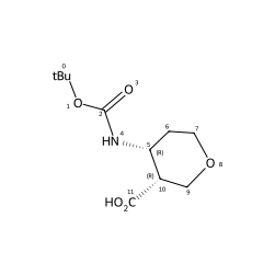 CC(C)(C)OC(=O)N[C@@H]1CCOC[C@@H]1C(=O)O